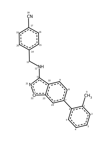 Cc1ccccc1-c1ccc2c(NCc3ccc(C#N)cc3)noc2c1